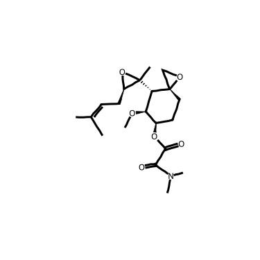 CO[C@H]1[C@H](C2(C)O[C@@H]2CC=C(C)C)[C@]2(CC[C@H]1OC(=O)C(=O)N(C)C)CO2